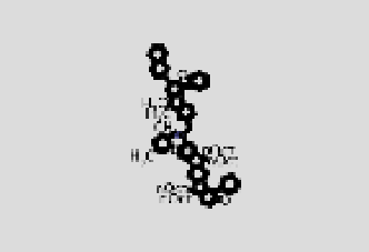 CCCCCCCCC1(CCCCCCCC)c2cc(/C(=C\c3c(C)cc(C)cc3C)Cc3ccc4c(c3)C(C)(C)c3cc(-c5ccc6ccccc6c5)c5oc6ccccc6c5c3-4)ccc2-c2cc3c(cc21)-c1c(ccc2oc4ccccc4c12)C3(CCCCCCCC)CCCCCCCC